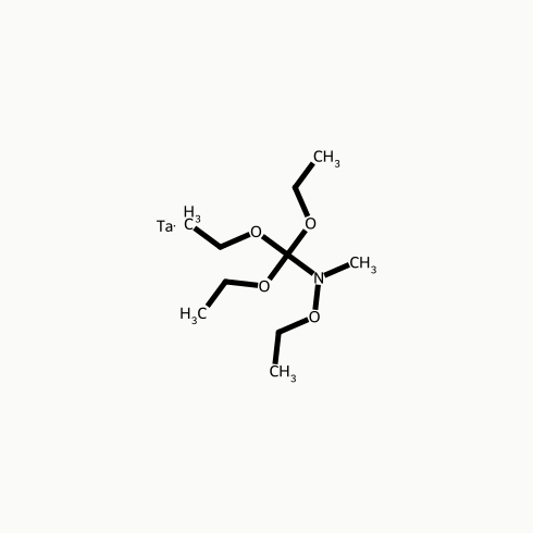 CCON(C)C(OCC)(OCC)OCC.[Ta]